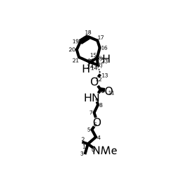 CNC(C)(C)CCOCCNC(=O)OC[C@H]1[C@@H]2CCC#CCC[C@@H]21